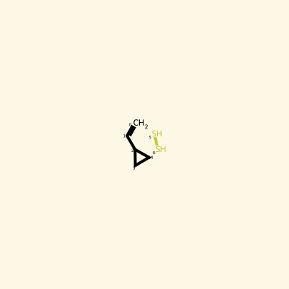 C=CC1CC1.SS